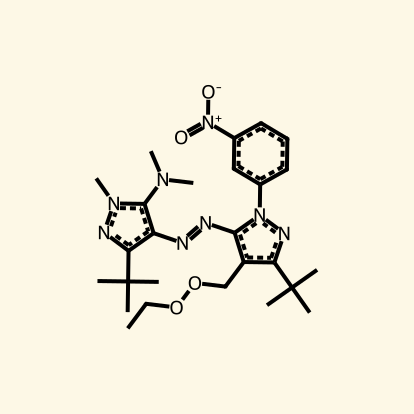 CCOOCc1c(C(C)(C)C)nn(-c2cccc([N+](=O)[O-])c2)c1N=Nc1c(C(C)(C)C)nn(C)c1N(C)C